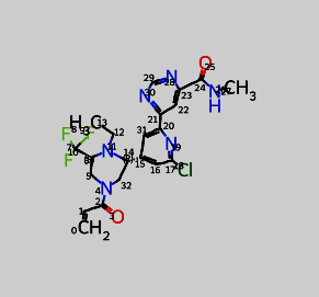 C=CC(=O)N1C[C@@H](C(F)(F)F)N(CC)[C@H](c2cc(Cl)nc(-c3cc(C(=O)NC)ncn3)c2)C1